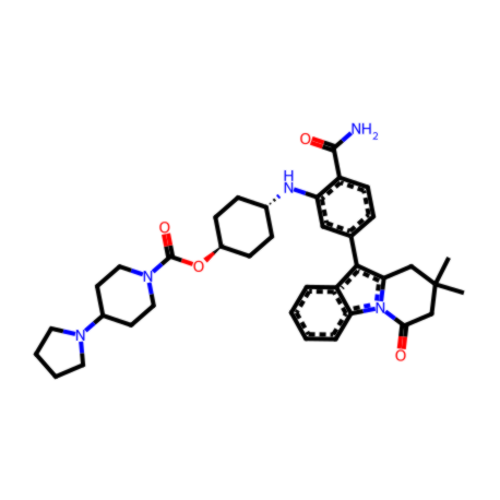 CC1(C)CC(=O)n2c(c(-c3ccc(C(N)=O)c(N[C@H]4CC[C@H](OC(=O)N5CCC(N6CCCC6)CC5)CC4)c3)c3ccccc32)C1